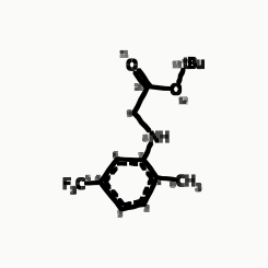 Cc1ccc(C(F)(F)F)cc1NCC(=O)OC(C)(C)C